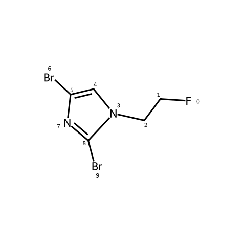 FCCn1cc(Br)nc1Br